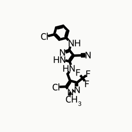 Cn1nc(C(F)(F)F)c(CNc2[nH]nc(Nc3cccc(Cl)c3)c2C#N)c1Cl